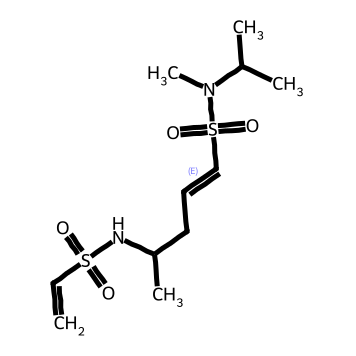 C=CS(=O)(=O)NC(C)C/C=C/S(=O)(=O)N(C)C(C)C